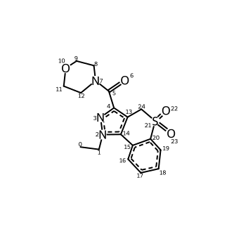 CCn1nc(C(=O)N2CCOCC2)c2c1-c1ccccc1S(=O)(=O)C2